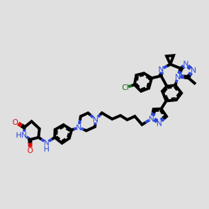 Cc1nnc2n1-c1ccc(-c3cnn(CCCCCCN4CCN(c5ccc(NC6CCC(=O)NC6=O)cc5)CC4)c3)cc1C(c1ccc(Cl)cc1)=NC21CC1